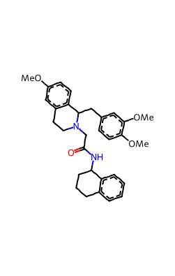 COc1ccc2c(c1)CCN(CC(=O)NC1CCCc3ccccc31)C2Cc1ccc(OC)c(OC)c1